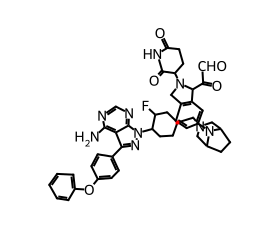 Nc1ncnc2c1c(-c1ccc(Oc3ccccc3)cc1)nn2C1CCC(CN2CC3CCC(C2)N3c2ccc3c(c2)C(C(=O)C=O)N(C2CCC(=O)NC2=O)C3)CC1F